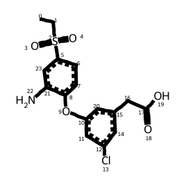 CCS(=O)(=O)c1ccc(Oc2cc(Cl)cc(CC(=O)O)c2)c(N)c1